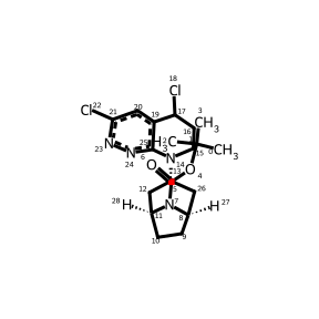 CC(C)(C)OC(=O)N1[C@@H]2CC[C@H]1C[C@H](N1CCC(Cl)c3cc(Cl)nnc31)C2